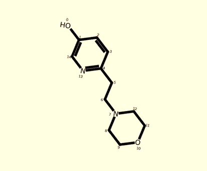 Oc1ccc(CCN2CCOCC2)nc1